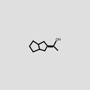 CC(O)=C1CC2CCCC2C1